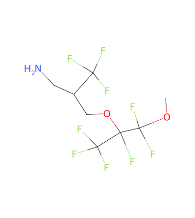 COC(F)(F)C(F)(OCC(CN)C(F)(F)F)C(F)(F)F